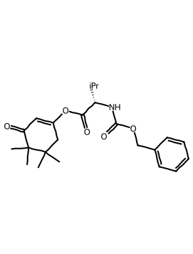 CC(C)[C@H](NC(=O)OCc1ccccc1)C(=O)OC1=CC(=O)C(C)(C)C(C)(C)C1